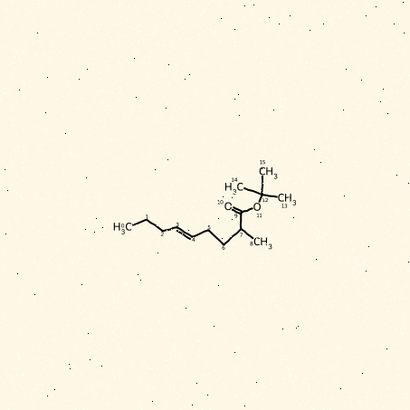 CCCC=CCCC(C)C(=O)OC(C)(C)C